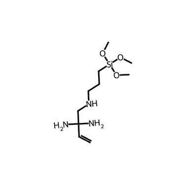 C=CC(N)(N)CNCCC[Si](OC)(OC)OC